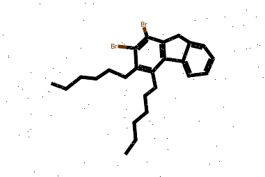 CCCCCCc1c(Br)c(Br)c2c(c1CCCCCC)-c1ccccc1C2